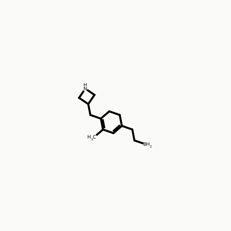 BCCC1=CC(C)=C(CC2CNC2)CC1